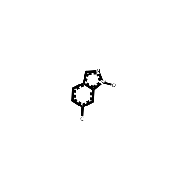 [O-][s+]1ncc2ccc(Cl)cc21